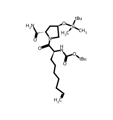 C=CCCCCC[C@H](NC(=O)OC(C)(C)C)C(=O)N1C[C@H](O[Si](C)(C)C(C)(C)C)C[C@H]1C(N)=O